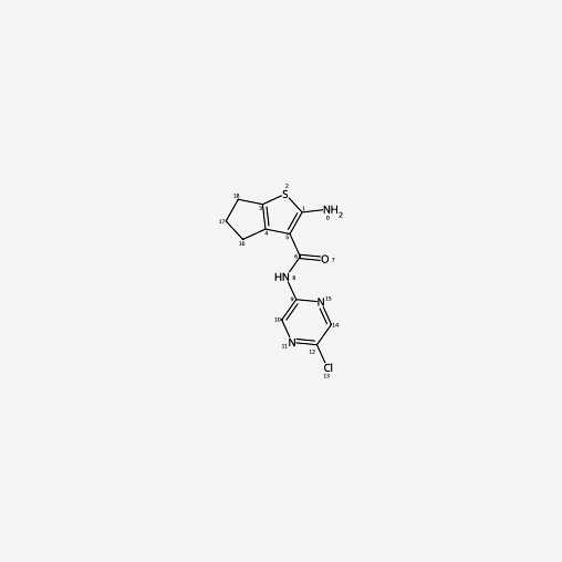 Nc1sc2c(c1C(=O)Nc1cnc(Cl)cn1)CCC2